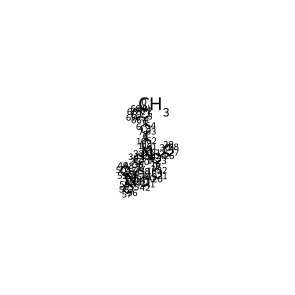 C[C@@H]1CC=C(c2ccc(-c3ccc(N(c4cc(-c5ccccc5)cc(-c5ccccc5)c4)c4cccc(-c5cc6ccccc6c6c5c5ccccc5n6-c5ccccc5)c4)cc3)cc2)c2ccccc21